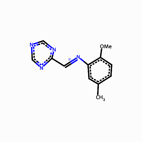 COc1ccc(C)cc1/N=C/c1ncncn1